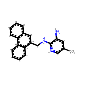 Nc1cc(C(Cl)(Cl)Cl)cnc1NCc1cc2ccccc2c2ccccc12